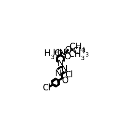 CC1(NC(=O)OC(C)(C)C)CCN(c2cnc(C(=O)c3ccc(Cl)cc3)c(Cl)n2)CC1